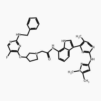 Cc1cnc(Nc2cc(C)n(C)n2)nc1-c1c[nH]c2c(NC(=O)CN3CCC(Oc4nc(NCc5ccccc5)ncc4F)C3)cccc12